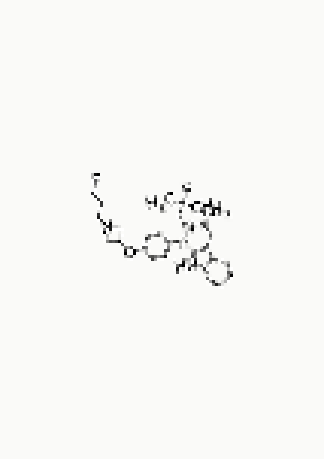 C[C@@H]1Cc2c([nH]c3ccccc23)[C@@H](c2ccc(OC3CN(CCCF)C3)cc2)N1CC(C)(C)F